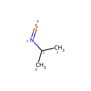 CC(C)N=S